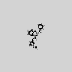 Nn1cc(CN(I)CCN(Cc2ccccn2)Cc2ccccn2)nn1